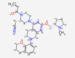 C=CC(=O)N1CCN(c2nc(OC[C@@H]3CCCN3C)nc3c2CCN(c2cccc4c2OCCC4)C3)C[C@@H]1CC#N